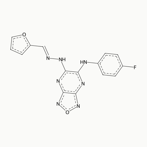 Fc1ccc(Nc2nc3nonc3nc2NN=Cc2ccco2)cc1